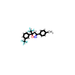 Cc1ccc(C2=NOC(c3cccc(C(F)(F)F)c3)(C(F)(F)F)C2)cc1